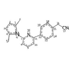 Cc1ccc(C)n1-c1cccc(-c2ccc(CC#N)cc2)n1